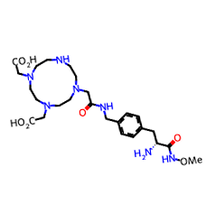 CONC(=O)[C@H](N)Cc1ccc(CNC(=O)CN2CCNCCN(CC(=O)O)CCN(CC(=O)O)CC2)cc1